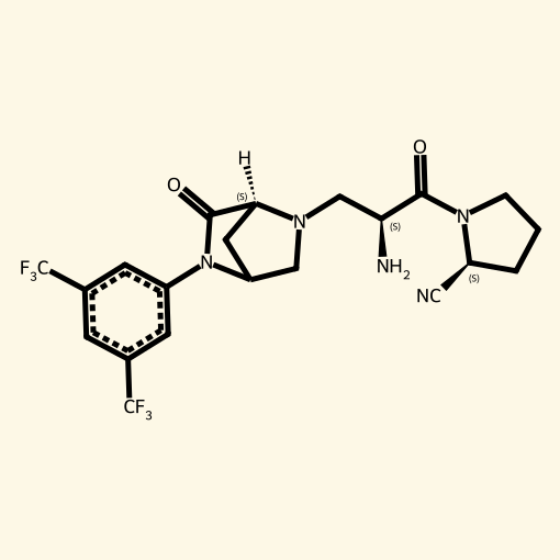 N#C[C@@H]1CCCN1C(=O)[C@@H](N)CN1CC2C[C@H]1C(=O)N2c1cc(C(F)(F)F)cc(C(F)(F)F)c1